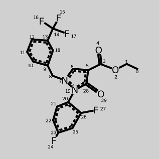 CCOC(=O)c1cn(Cc2cccc(C(F)(F)F)c2)n(-c2ccc(F)cc2F)c1=O